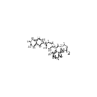 CCC/C=C(/c1ccc(-c2ccc3ccccc3c2)cc1)c1c(C)ncnc1N